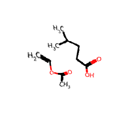 C=COC(C)=O.CC(C)CCC(=O)O